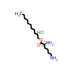 CCCCCCCCCCCOC(=O)[C@@H](N)CCCCN.Cl